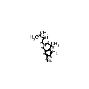 CN(C)C(=O)CN1Cc2cc(C(C)(C)C)ccc2C(C)(C)C1